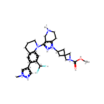 CC(=O)N1CCc2c(c(N3CCCc4cc(-c5cnn(C)c5)c(C(F)F)cc43)nn2C2CC3(C2)CN(C(=O)OC(C)(C)C)C3)C1